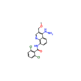 COCc1cnc2c(NC(=O)c3c(Cl)cccc3Cl)cccc2c1NN